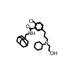 O=C(NCC12CC3CC(CC(C3)C1)C2)c1cc(CCCN(CCO)C2CCCCC2)ccc1Cl